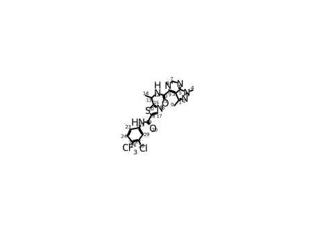 Cc1nn(C)c2ncnc(C(=O)NC(C)c3ncc(C(=O)Nc4ccc(C(F)(F)F)c(Cl)c4)s3)c12